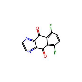 O=C1c2nccnc2C(=O)c2c(F)ccc(F)c21